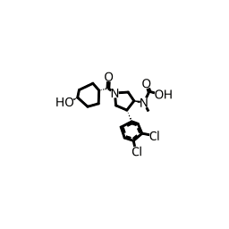 CN(C(=O)O)[C@@H]1CN(C(=O)[C@H]2CC[C@@H](O)CC2)C[C@H]1c1ccc(Cl)c(Cl)c1